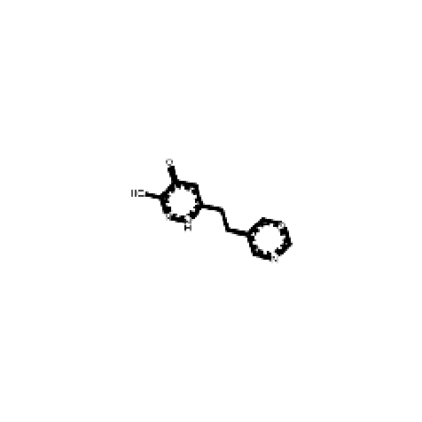 O=c1cc(CCc2cncnc2)[nH]nc1O